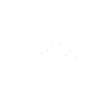 O=C(NCc1ccccc1)[C@H]1CCCN1c1nc2c(=O)n3c(nc2s1)CN(CC(F)(F)F)CC3